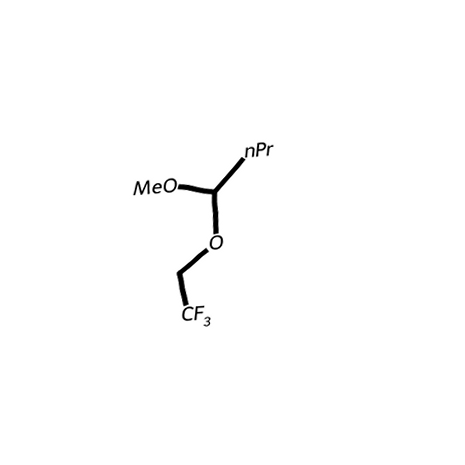 CCCC(OC)OCC(F)(F)F